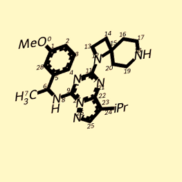 COc1cccc(C(C)Nc2nc(N3CCC34CCNCC4)nc3c(C(C)C)cnn23)c1